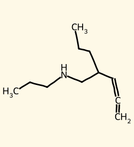 C=C=CC(CCC)CNCCC